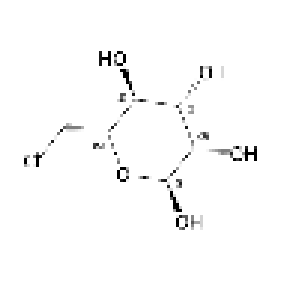 O[C@@H]1[C@H](O)[C@@H](O)O[C@H](CCl)[C@H]1O